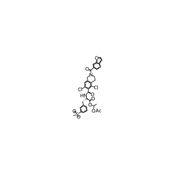 CC(=O)OC(C)OC(=O)[C@H](Cc1cccc(S(C)(=O)=O)c1)NC(=O)c1c(Cl)cc2c(c1Cl)CCN(C(=O)c1ccc3ccoc3c1)C2